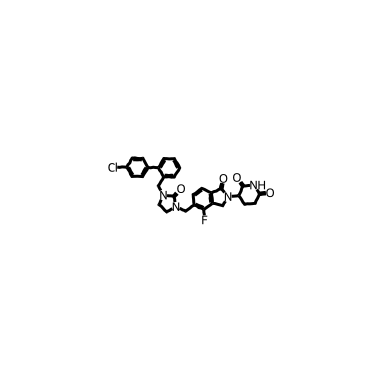 O=C1CCC(N2Cc3c(ccc(CN4CCN(Cc5ccccc5-c5ccc(Cl)cc5)C4=O)c3F)C2=O)C(=O)N1